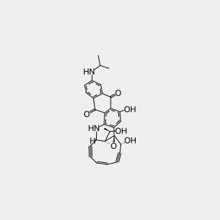 CC(C)Nc1ccc2c(c1)C(=O)c1c(O)cc3c(c1C2=O)N[C@H]1C#C/C=C\C#C[C@@H](O)[C@@]32O[C@@]12[C@@H](C)O